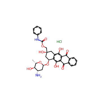 C[C@@H]1O[C@@H](O[C@H]2C[C@](O)(COC(=O)Nc3ccccc3)Cc3c(O)c4c(c(O)c32)C(=O)c2ccccc2C4=O)C[C@H](N)[C@H]1O.Cl